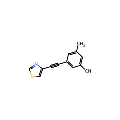 Cc1cc(C#N)cc(C#Cc2cscn2)c1